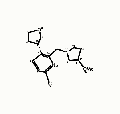 CCc1ccc([C@@H]2CCOC2)c(CN2CC[C@@H](OC)C2)n1